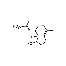 CC1=C2CCC(O)[C@@H]2[C@H](/C=C(\C)C(=O)O)CC1